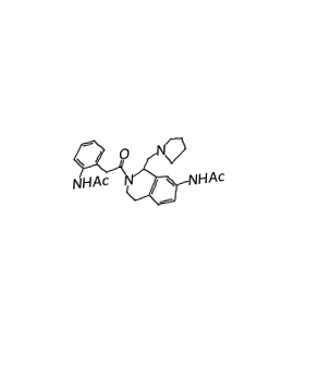 CC(=O)Nc1ccc2c(c1)C(CN1CCCC1)N(C(=O)Cc1ccccc1NC(C)=O)CC2